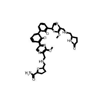 COc1nc(-c2cccc(-c3cccc(-c4cnc(CNCC5CCC(C(N)=O)O5)c(OC)n4)c3Cl)c2Cl)cnc1CNCC1CCC(=O)N1